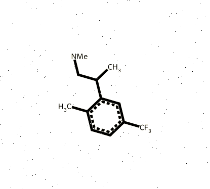 CNCC(C)c1cc(C(F)(F)F)ccc1C